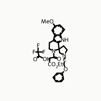 CCOC(=O)CC(=O)N1CCc2c([nH]c3ccc(OC)cc23)C12CCN(CCOc1ccccc1)C2.O=C(O)C(F)(F)F